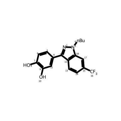 CCCCn1nc(-c2ccc(O)c(O)c2)c2ccc(C(F)(F)F)cc21